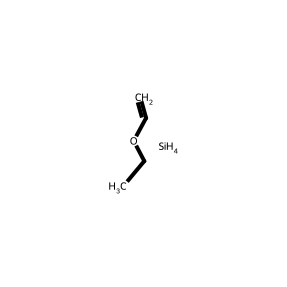 C=COCC.[SiH4]